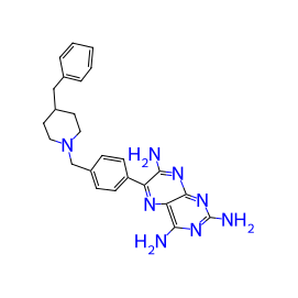 Nc1nc(N)c2nc(-c3ccc(CN4CCC(Cc5ccccc5)CC4)cc3)c(N)nc2n1